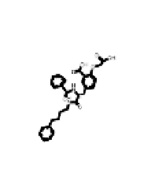 O=C(O)COc1ccc(C[C@H](NC(=O)c2ccccc2)C(=O)NCCCCc2ccccc2)cc1C(=O)O